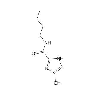 CCCCNC(=O)c1nc(O)c[nH]1